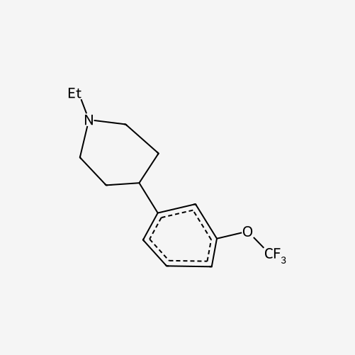 CCN1CCC(c2cccc(OC(F)(F)F)c2)CC1